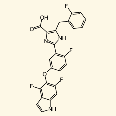 O=C(O)c1nc(-c2cc(Oc3c(F)cc4[nH]ccc4c3F)ccc2F)[nH]c1Cc1ccccc1F